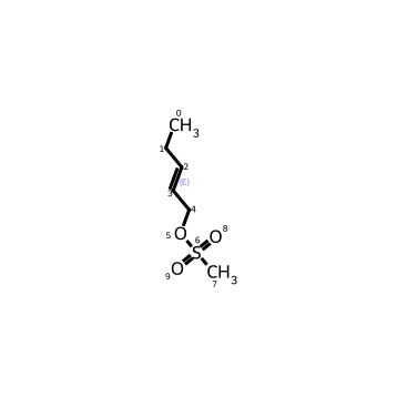 CC/C=C/COS(C)(=O)=O